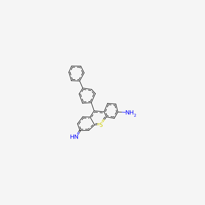 N=c1ccc2c(-c3ccc(-c4ccccc4)cc3)c3ccc(N)cc3sc-2c1